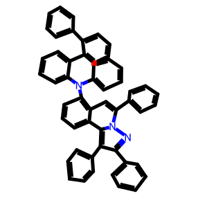 c1ccc(-c2ccccc2-c2ccccc2N(c2ccccc2)c2cccc3c2cc(-c2ccccc2)n2nc(-c4ccccc4)c(-c4ccccc4)c32)cc1